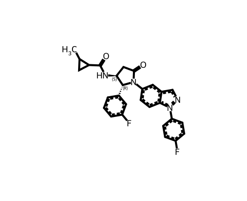 CC1CC1C(=O)N[C@H]1CC(=O)N(c2ccc3c(cnn3-c3ccc(F)cc3)c2)[C@@H]1c1cccc(F)c1